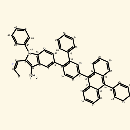 C/C=C\c1c(N)c2cc(-c3ccc(-c4c5ccccc5c(C5=CCCC=C5)c5ccccc45)cc3-c3ccccc3)ccc2n1-c1ccccc1